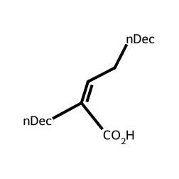 CCCCCCCCCCCC=C(CCCCCCCCCC)C(=O)O